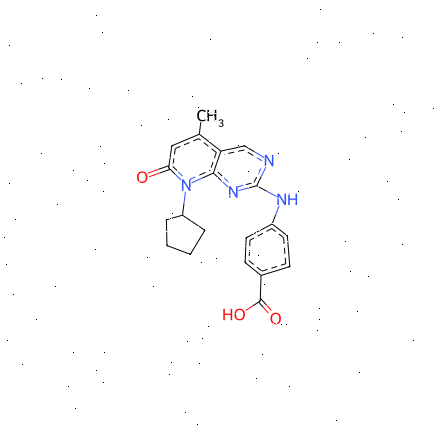 Cc1cc(=O)n(C2CCCC2)c2nc(Nc3ccc(C(=O)O)cc3)ncc12